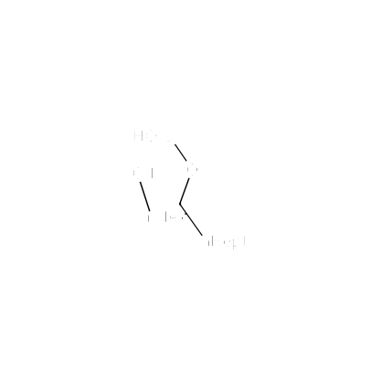 CCCCCCC.CCCCCCCCOS(=O)(=O)O